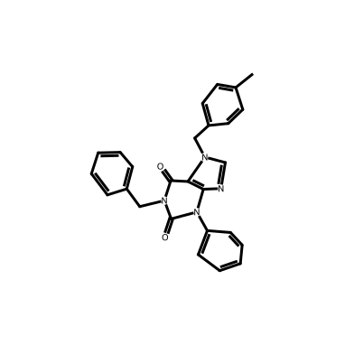 Cc1ccc(Cn2cnc3c2c(=O)n(Cc2ccccc2)c(=O)n3-c2ccccc2)cc1